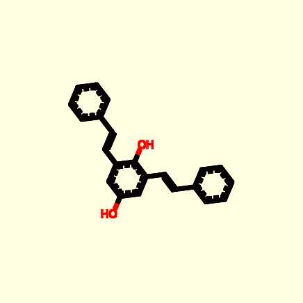 Oc1cc(C=Cc2ccccc2)c(O)c(C=Cc2ccccc2)c1